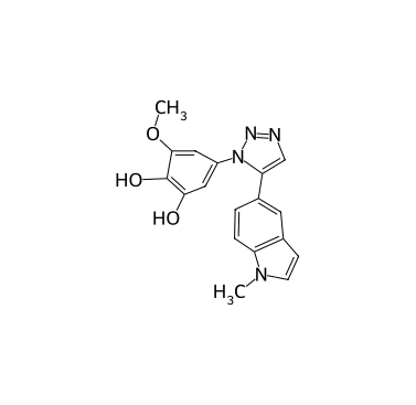 COc1cc(-n2nncc2-c2ccc3c(ccn3C)c2)cc(O)c1O